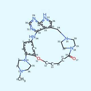 CN1CCN(c2ccc3cc2OCCCCC(=O)N2CCN(CC2)Cc2c[nH]c4ncnc(c24)N3)CC1